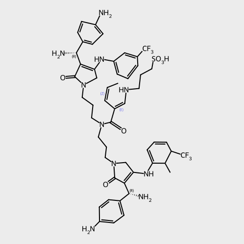 C/C=C\C(=C/NCCCS(=O)(=O)O)C(=O)N(CCCN1CC(NC2=CC=CC(C(F)(F)F)C2C)=C([C@H](N)c2ccc(N)cc2)C1=O)CCCN1CC(Nc2cccc(C(F)(F)F)c2)=C([C@H](N)c2ccc(N)cc2)C1=O